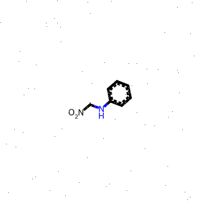 O=[N+]([O-])[CH]Nc1ccccc1